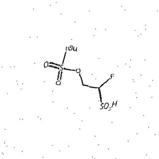 CCCCS(=O)(=O)OCC(F)S(=O)(=O)O